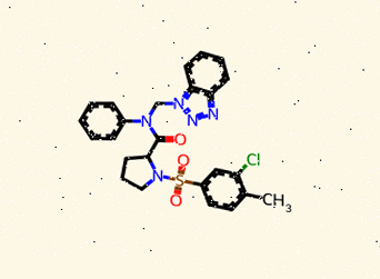 Cc1ccc(S(=O)(=O)N2CCCC2C(=O)N(Cn2nnc3ccccc32)c2ccccc2)cc1Cl